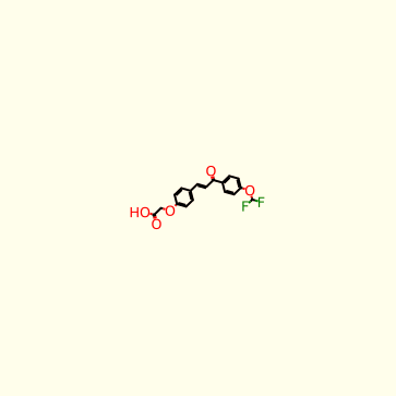 O=C(O)COc1ccc(C=CC(=O)c2ccc(OC(F)F)cc2)cc1